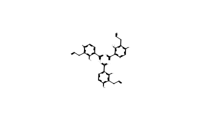 C=CCc1c(O)ccc(-c2nc(-c3ccc(O)c(CC=C)c3O)nc(-c3ccc(O)c(CC=C)c3O)n2)c1O